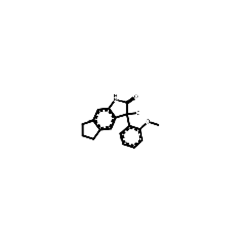 COc1ccccc1C1(Cl)C(=O)Nc2cc3c(cc21)CCC3